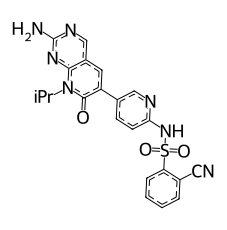 CC(C)n1c(=O)c(-c2ccc(NS(=O)(=O)c3ccccc3C#N)nc2)cc2cnc(N)nc21